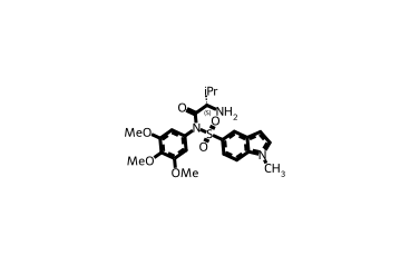 COc1cc(N(C(=O)[C@@H](N)C(C)C)S(=O)(=O)c2ccc3c(ccn3C)c2)cc(OC)c1OC